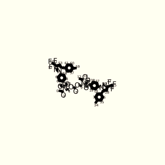 CC(=O)N(COC(=O)OCN(C(C)=O)S(=O)(=O)c1ccc(-n2nc(C(F)(F)F)cc2-c2ccc(C)cc2)cc1)S(=O)(=O)c1ccc(-n2nc(C(F)(F)F)cc2-c2ccc(C)cc2)cc1